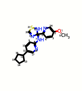 COc1ccc(C2(Nc3ccc(C4CCCC4)cn3)N=CSN2)nc1